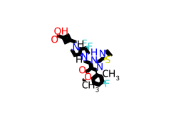 CCOC(=O)C1=C(CN2CC(F)(F)[C@H]3[C@@H]2CCN3CC23CC(C(=O)O)(C2)C3)NC(c2nccs2)=N[C@H]1c1cccc(F)c1C